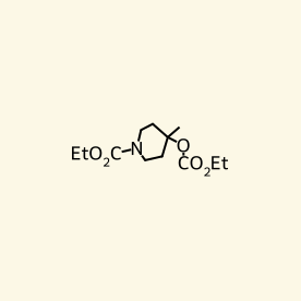 CCOC(=O)OC1(C)CCN(C(=O)OCC)CC1